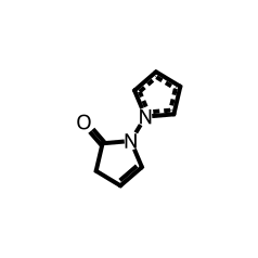 O=C1CC=CN1n1cccc1